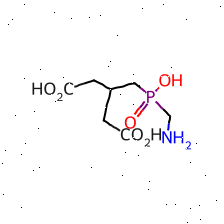 NCP(=O)(O)CC(CC(=O)O)CC(=O)O